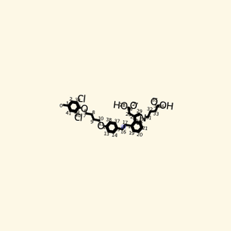 Cc1cc(Cl)c(OCCCCOc2ccc(/C=C/c3cccc4c3c(CC(=O)O)cn4CCCC(=O)O)cc2)c(Cl)c1